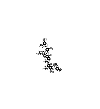 Cc1cc(N=Nc2c(S(=O)(=O)ON)cc3c(S(=O)(=O)O)c(N=Nc4cc(S(=O)(=O)O)c5cc(S(=O)(=O)O)c(N=Nc6ccc([N+](=O)[O-])cc6S(=O)(=O)ON)c(O)c5c4N)ccc3c2O)c(OCCCS(=O)(=O)O)cc1NNc1ccc(S(=O)(=O)O)cc1C(=O)N=O